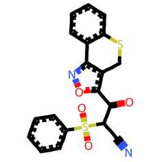 N#CC(C(=O)c1onc2c1CSc1ccccc1-2)S(=O)(=O)c1ccccc1